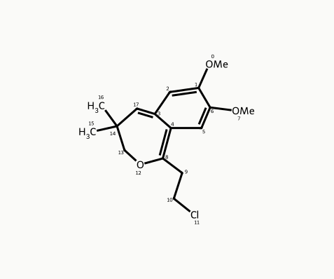 COc1cc2c(cc1OC)=C(CCCl)OCC(C)(C)C=2